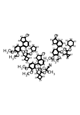 COc1ccc(-c2cccc3c2CCC3=O)c(OCC2(C(=O)OC(C)(C)C#N)CCC2)c1OC.COc1ccc(-c2cccc3c2CCC3=O)c(OCC2(C(=O)OC3CCCC3)CCC2)c1OC.COc1ccc(-c2cccc3c2CCC3=O)c(OCC2(C(=O)OC3CCCCC3)CC2)c1OC